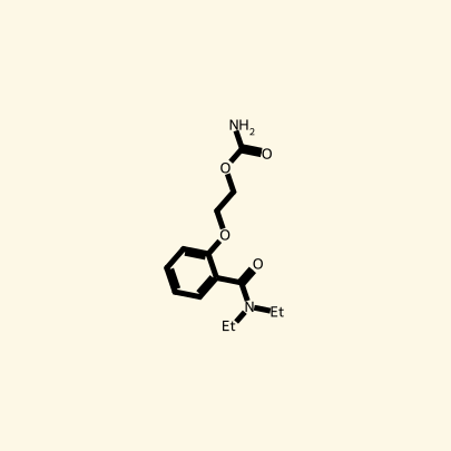 CCN(CC)C(=O)c1ccccc1OCCOC(N)=O